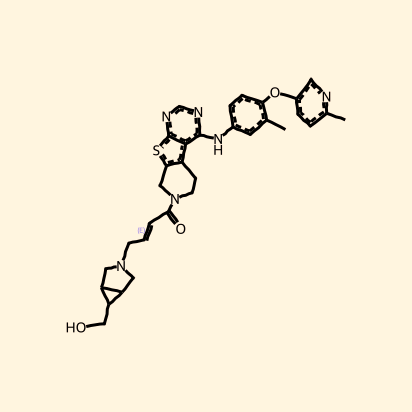 Cc1ccc(Oc2ccc(Nc3ncnc4sc5c(c34)CCN(C(=O)/C=C/CN3CC4C(CO)C4C3)C5)cc2C)cn1